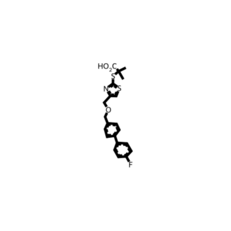 CC(C)(Sc1nc(COCc2ccc(-c3ccc(F)cc3)cc2)cs1)C(=O)O